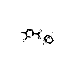 O=C(N[C@@H]1C[C@H]2CC[C@@H]1N2)c1ncc(F)c(Cl)n1